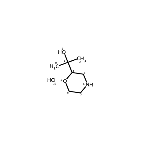 CC(C)(O)C1CNCCO1.Cl